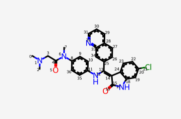 CN(C)CC(=O)N(C)c1ccc(N/C(=C2\C(=O)Nc3cc(Cl)ccc32)c2ccc3cccnc3c2)cc1